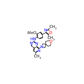 COc1cc(-c2nc(C)oc2C)ccc1Nc1ncc2cc(C)nc(N3CC4(CCOCC4)C3)c2n1